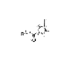 O=C(CBr)c1cnc(I)s1